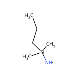 CCC[Si](C)(C)[NH]